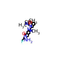 COc1cccc2cc(-c3nc4cc5c(cc4n3C)CCN(C[C@H](N)CF)C5=O)n(CC(=O)N(C)C)c12